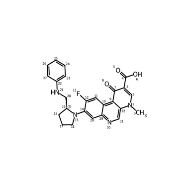 Cn1cc(C(=O)O)c(=O)c2c3cc(F)c(N4CCC[C@H]4CNc4ccccc4)cc3ncc21